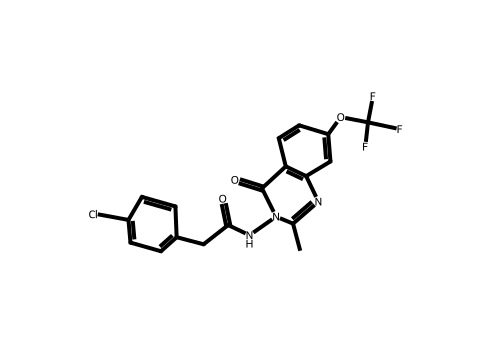 Cc1nc2cc(OC(F)(F)F)ccc2c(=O)n1NC(=O)Cc1ccc(Cl)cc1